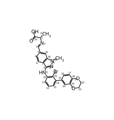 C[C@@H](N=Cc1ccc2c(Nc3cccc(-c4ccc5c(c4)OCCO5)c3Br)nn(C)c2c1)C(=O)O